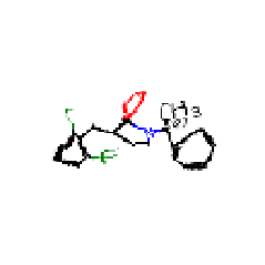 C[C@H](c1ccccc1)N1CCC(Cc2c(F)cccc2F)C1=O